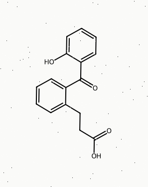 O=C(O)CCc1ccccc1C(=O)c1ccccc1O